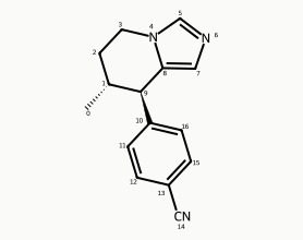 C[C@@H]1CCn2cncc2[C@H]1c1ccc(C#N)cc1